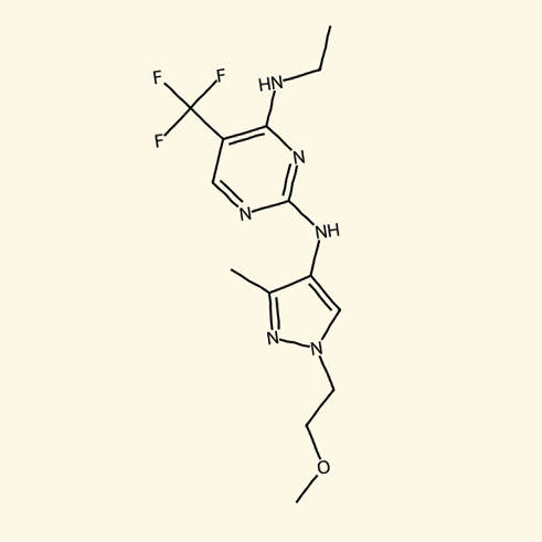 CCNc1nc(Nc2cn(CCOC)nc2C)ncc1C(F)(F)F